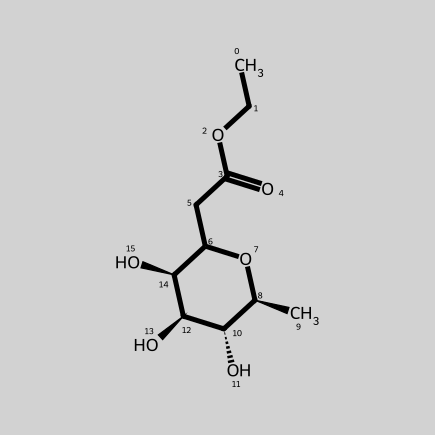 CCOC(=O)CC1O[C@@H](C)[C@H](O)[C@@H](O)[C@H]1O